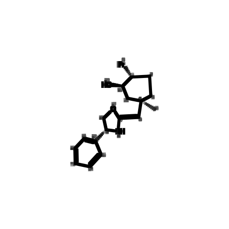 CC(C)[C@@H]1CC[C@@](C)(C=C2N[C@H](c3ccccc3)CO2)C[C@H]1O